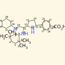 CC1(C)CCC(C)(C)C2C1NC(C1CCC(c3ccc(C(=O)O)cc3)N1)CN2C1CCCCC1